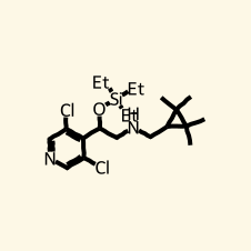 CC[Si](CC)(CC)OC(CNCC1C(C)(C)C1(C)C)c1c(Cl)cncc1Cl